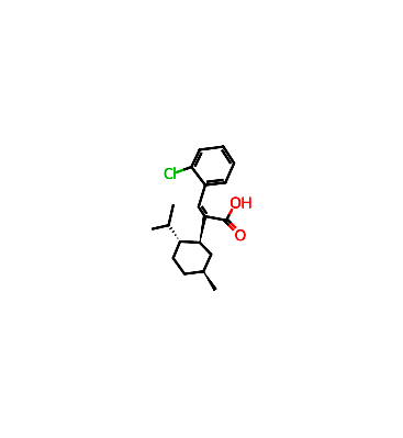 CC(C)[C@H]1CC[C@H](C)C[C@@H]1C(=Cc1ccccc1Cl)C(=O)O